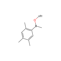 CCCOB(C)c1cc(C)c(C)cc1C